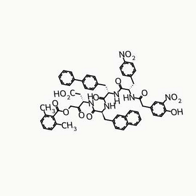 Cc1cccc(C)c1C(=O)OCC(=O)[C@H](CC(=O)O)NC(=O)[C@H](Cc1ccc2ccccc2c1)NC(=O)[C@H](Cc1ccc(-c2ccccc2)cc1)NC(=O)[C@H](Cc1ccc([N+](=O)[O-])cc1)NC(=O)Cc1ccc(O)c([N+](=O)[O-])c1